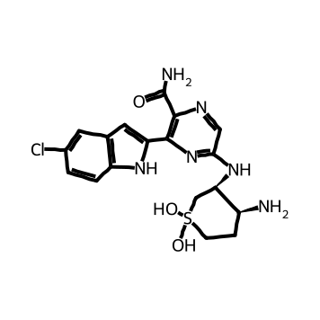 NC(=O)c1ncc(N[C@@H]2CS(O)(O)CC[C@@H]2N)nc1-c1cc2cc(Cl)ccc2[nH]1